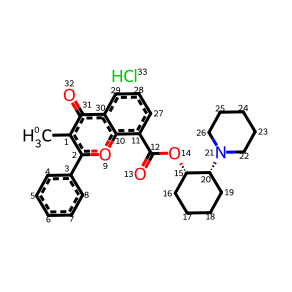 Cc1c(-c2ccccc2)oc2c(C(=O)O[C@H]3CCCC[C@H]3N3CCCCC3)cccc2c1=O.Cl